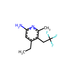 CCc1cc(N)nc(C)c1CC(F)(F)F